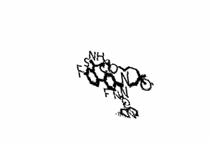 COC1(C)CCC2COc3c(Cl)c(-c4ccc(F)c5sc(N)c(C#N)c45)c(F)c4nc(OC[C@@]56CCCN5C[C@H](C)C6)nc(c34)N2CC1